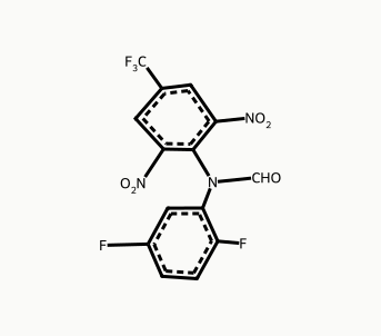 O=CN(c1cc(F)ccc1F)c1c([N+](=O)[O-])cc(C(F)(F)F)cc1[N+](=O)[O-]